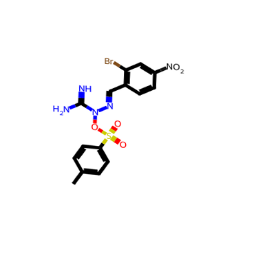 Cc1ccc(S(=O)(=O)ON(N=Cc2ccc([N+](=O)[O-])cc2Br)C(=N)N)cc1